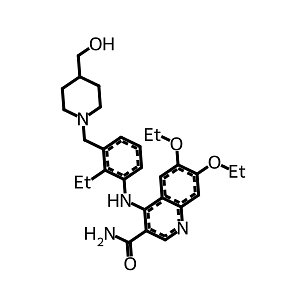 CCOc1cc2ncc(C(N)=O)c(Nc3cccc(CN4CCC(CO)CC4)c3CC)c2cc1OCC